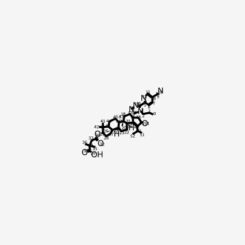 CCCn1c(-c2ccc(C#N)cn2)nnc1[C@@]12CC[C@]3(C)[C@H](CC[C@@H]4[C@@]5(C)CC[C@H](OC(=O)CC(C)(C)C(=O)O)C(C)(C)C5CC[C@]43C)C1=C(C(C)C)C(=O)C2